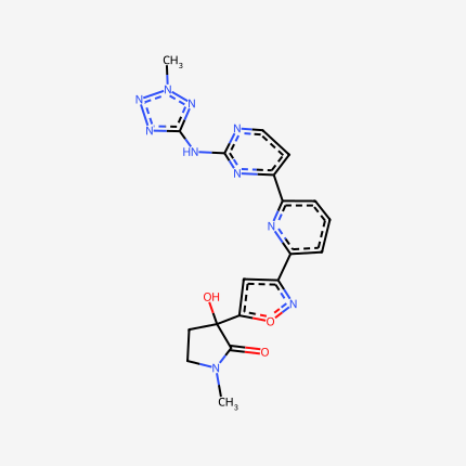 CN1CCC(O)(c2cc(-c3cccc(-c4ccnc(Nc5nnn(C)n5)n4)n3)no2)C1=O